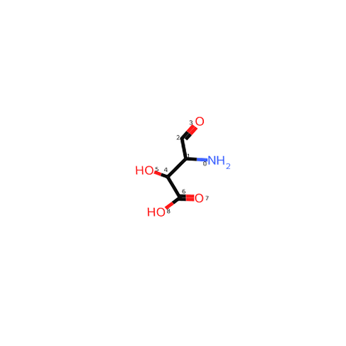 NC(C=O)C(O)C(=O)O